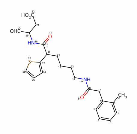 Cc1ccccc1CC(=O)NCCCCC(C(=O)NC(C=O)CC(=O)O)c1cccs1